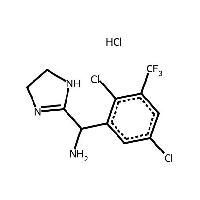 Cl.NC(C1=NCCN1)c1cc(Cl)cc(C(F)(F)F)c1Cl